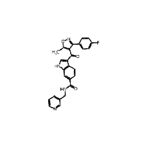 Cc1onc(-c2ccc(F)cc2)c1C(=O)c1c[nH]c2cc(C(=O)NCc3cccnc3)ccc12